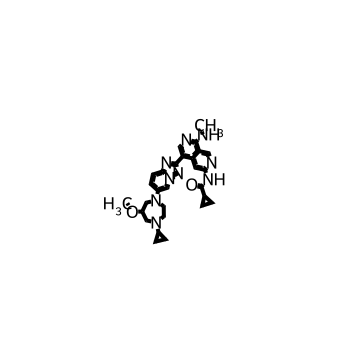 CNc1ncc(-c2nc3ccc(N4CCN(C5CC5)CC(OC)C4)cn3n2)c2cc(NC(=O)C3CC3)ncc12